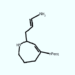 CCCCCC1=CC(CC=CN)NCCC1